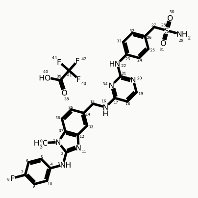 Cn1c(Nc2ccc(F)cc2)nc2cc(CNc3ccnc(Nc4ccc(CS(N)(=O)=O)cc4)n3)ccc21.O=C(O)C(F)(F)F